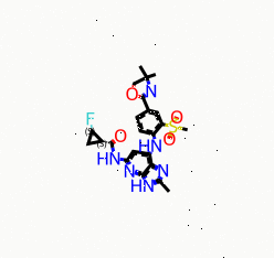 Cc1nc2c(Nc3ccc(C4=NC(C)(C)CO4)cc3S(C)(=O)=O)cc(NC(=O)[C@@H]3C[C@@H]3F)nc2[nH]1